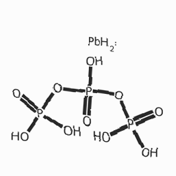 O=P(O)(O)OP(=O)(O)OP(=O)(O)O.[PbH2]